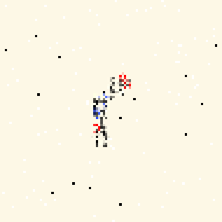 c1ccc2oc(-c3cc4nc(NCc5ccc6c(c5)OCO6)ccn4n3)cc2c1